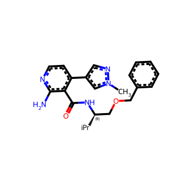 CC(C)[C@H](COCc1ccccc1)NC(=O)c1c(-c2cnn(C)c2)ccnc1N